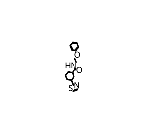 O=C(NCCOc1ccccc1)C1CCCC(c2nccs2)C1